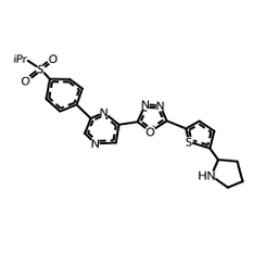 CC(C)S(=O)(=O)c1ccc(-c2cncc(-c3nnc(-c4ccc(C5CCCN5)s4)o3)n2)cc1